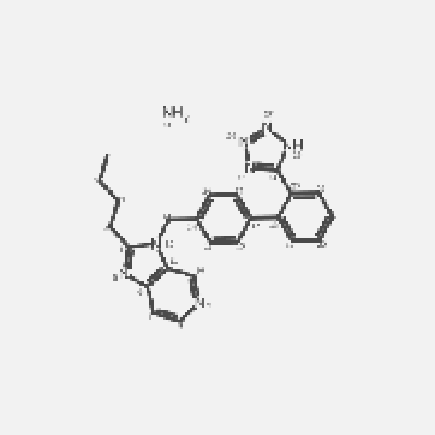 CCCCc1nc2ccncc2n1Cc1ccc(-c2ccccc2-c2nnn[nH]2)cc1.N